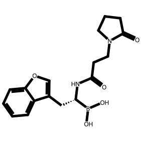 O=C(CCN1CCCC1=O)N[C@@H](Cc1coc2ccccc12)B(O)O